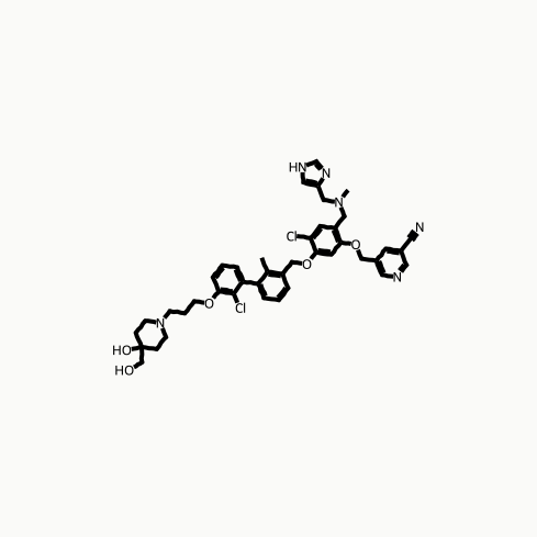 Cc1c(COc2cc(OCc3cncc(C#N)c3)c(CN(C)Cc3c[nH]cn3)cc2Cl)cccc1-c1cccc(OCCCN2CCC(O)(CO)CC2)c1Cl